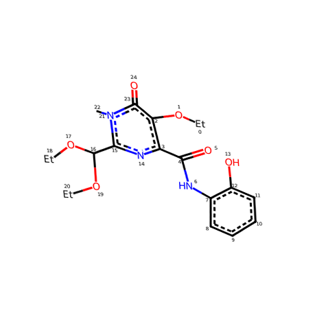 CCOc1c(C(=O)Nc2ccccc2O)nc(C(OCC)OCC)n(C)c1=O